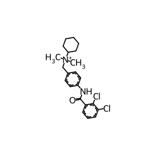 C[N+](C)(Cc1ccc(NC(=O)c2cccc(Cl)c2Cl)cc1)C1CCCCC1